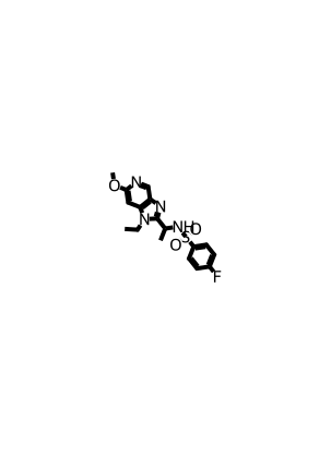 CCn1c(C(C)NS(=O)(=O)c2ccc(F)cc2)nc2cnc(OC)cc21